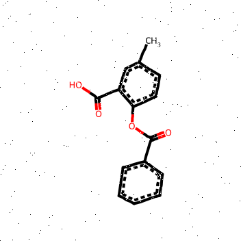 Cc1ccc(OC(=O)c2ccccc2)c(C(=O)O)c1